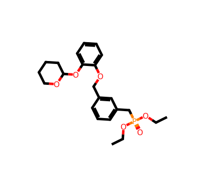 CCOP(=O)(Cc1cccc(COc2ccccc2OC2CCCCO2)c1)OCC